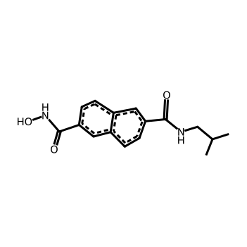 CC(C)CNC(=O)c1ccc2cc(C(=O)NO)ccc2c1